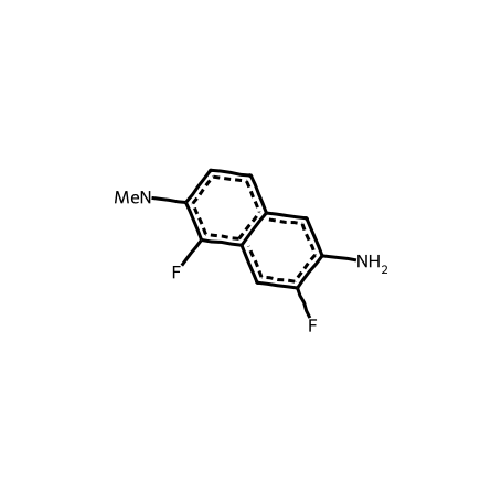 CNc1ccc2cc(N)c(F)cc2c1F